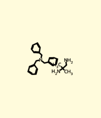 CC(C)(N)CN.c1ccc(CN(Cc2ccccc2)Cc2ccccc2)cc1